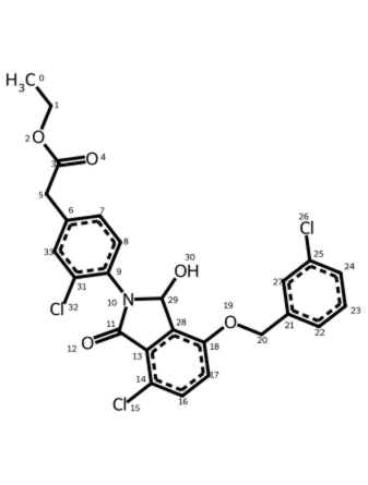 CCOC(=O)Cc1ccc(N2C(=O)c3c(Cl)ccc(OCc4cccc(Cl)c4)c3C2O)c(Cl)c1